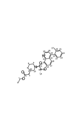 CCOC(=O)C[C@H]1CCCN(C(=O)[C@@H](C)Oc2ccc3c(-c4ccccc4C)ccnc3c2)C1